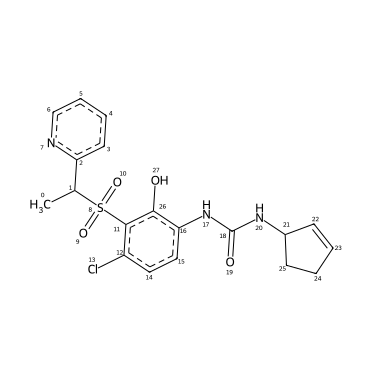 CC(c1ccccn1)S(=O)(=O)c1c(Cl)ccc(NC(=O)NC2C=CCC2)c1O